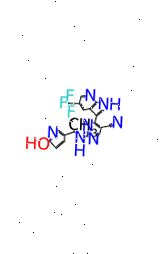 C[C@@H](Nc1ncc(C#N)c(-c2c[nH]c3ncc(C(F)(F)F)cc23)n1)c1ccc(O)nc1